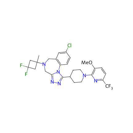 COc1ccc(C(F)(F)F)nc1N1CCC(c2nnc3n2-c2ccc(Cl)cc2CN(C2(C)CC(F)(F)C2)C3)CC1